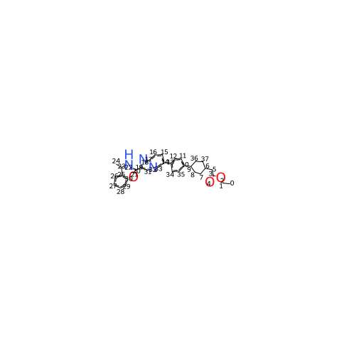 CCOC(=O)CC1CCC(c2ccc(-c3ccc4nc(C(=O)NC(C)c5ccccc5)cn4c3)cc2)CC1